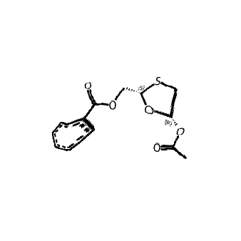 CC(=O)O[C@H]1CS[C@@H](COC(=O)c2ccccc2)O1